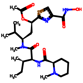 CC[C@H](C)[C@H](NC(=O)[C@H]1CCCCN1C)C(=O)N(C)[C@H](C[C@@H](OC(C)=O)c1nc(C(=O)NO)cs1)C(C)C